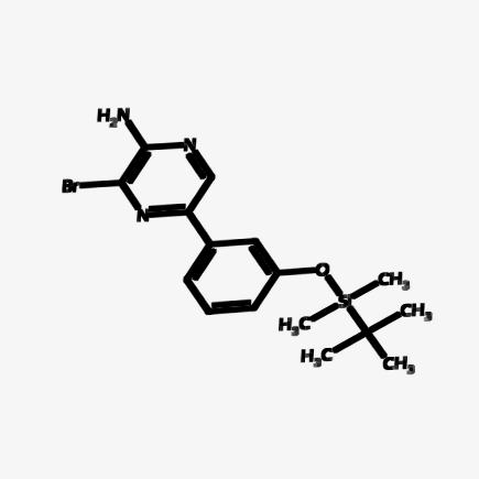 CC(C)(C)[Si](C)(C)Oc1cccc(-c2cnc(N)c(Br)n2)c1